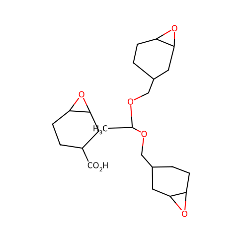 CC(OCC1CCC2OC2C1)OCC1CCC2OC2C1.O=C(O)C1CCC2OC2C1